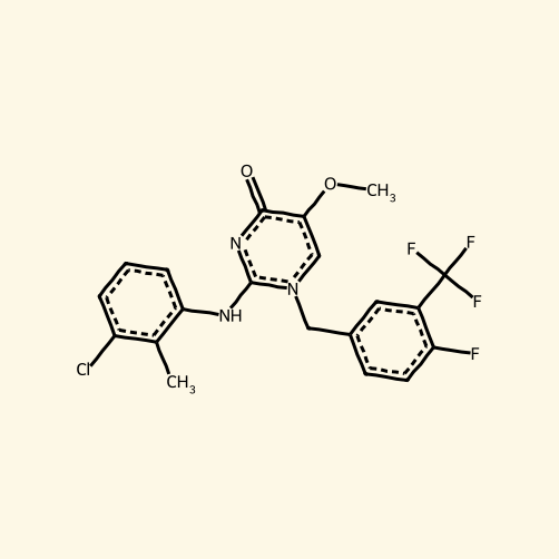 COc1cn(Cc2ccc(F)c(C(F)(F)F)c2)c(Nc2cccc(Cl)c2C)nc1=O